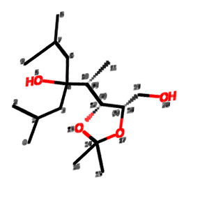 CC(C)CC(O)(CC(C)C)[C@H](C)[C@H]1OC(C)(C)O[C@H]1CO